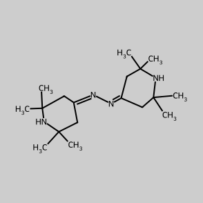 CC1(C)CC(=NN=C2CC(C)(C)NC(C)(C)C2)CC(C)(C)N1